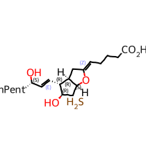 CCCCC[C@H](O)/C=C/[C@@H]1[C@H]2C/C(=C/CCCC(=O)O)O[C@H]2C[C@H]1O.S